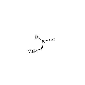 CCCB(CC)SNC